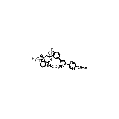 CN=[S@]1(=O)C[C@@](C)(c2cc(-c3cc(-c4cnc(OC)cn4)no3)ccc2F)N=C(NC(=O)O)C12CCCC2